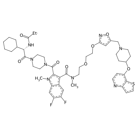 C[CH]C(=O)N[C@H](C(=O)N1CCN(C(=O)c2c(C(=O)N(C)CCOCCOc3cc(CN4CCC(Oc5ccnc6ccsc56)CC4)on3)c3cc(F)c(F)cc3n2C)CC1)C1CCCCC1